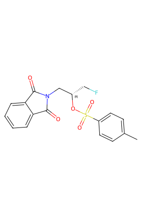 Cc1ccc(S(=O)(=O)O[C@@H](CF)CN2C(=O)c3ccccc3C2=O)cc1